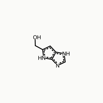 OCc1cc2[nH]cnc2[nH]1